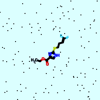 CCOC(=O)c1c[nH]c(SCCC=C(F)F)n1